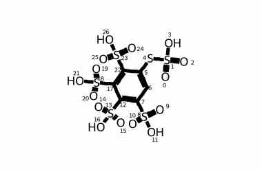 O=S(=O)(O)Sc1cc(S(=O)(=O)O)c(S(=O)(=O)O)c(S(=O)(=O)O)c1S(=O)(=O)O